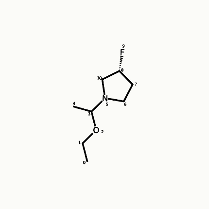 CCOC(C)N1CC[C@@H](F)C1